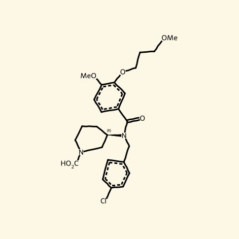 COCCCOc1cc(C(=O)N(Cc2ccc(Cl)cc2)[C@@H]2CCCN(C(=O)O)C2)ccc1OC